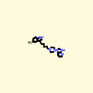 N#Cc1ccc2[nH]cc(CCCCCN3CCN(N4CNc5ncccc54)CC3)c2c1